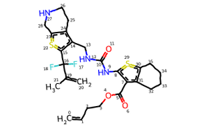 C=CCCOC(=O)c1c(NC(=O)NCc2c(C(F)(F)C(=C)C)sc3c2CCNC3)sc2c1CCCC2